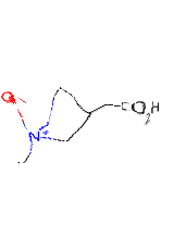 [CH2][N+]1([O-])CC(C(=O)O)C1